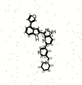 c1cc(-c2ccoc2)c2cc(-c3n[nH]c4ccc(-c5cncc(CN6CCCCC6)c5)nc34)[nH]c2c1